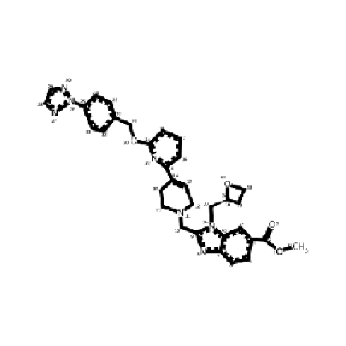 COC(=O)c1ccc2nc(CN3CC=C(c4cccc(OCc5ccc(-n6nccn6)cc5)n4)CC3)n(C[C@@H]3CCO3)c2c1